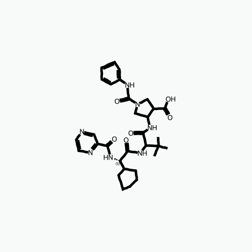 CC(C)(C)C(NC(=O)[C@@H](NC(=O)c1cnccn1)C1CCCCC1)C(=O)NC1CN(C(=O)Nc2ccccc2)CC1C(=O)O